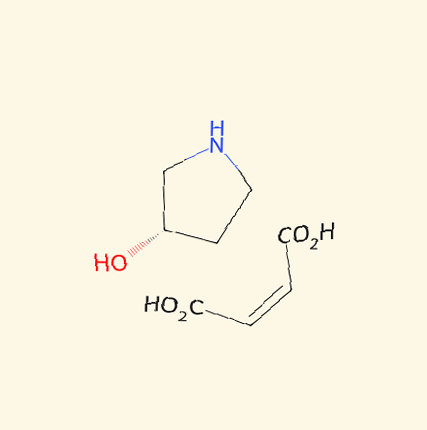 O=C(O)/C=C\C(=O)O.O[C@H]1CCNC1